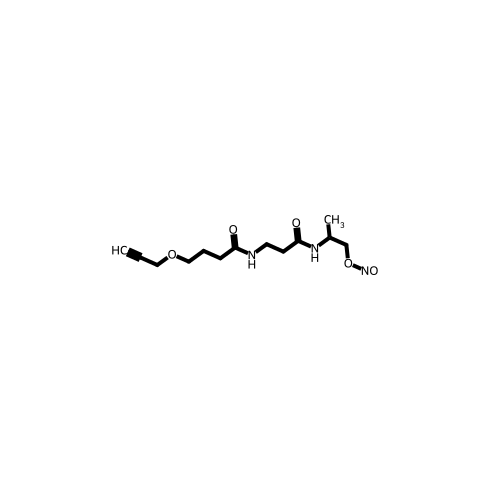 C#CCOCCCC(=O)NCCC(=O)NC(C)CON=O